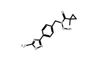 CCCON(Cc1ccc(-c2noc(C(F)(F)F)n2)cc1)C(=O)C1(C)CC1